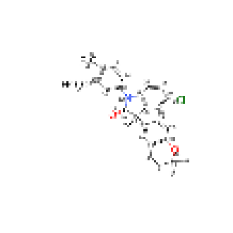 CC1(C)CCc2cc([C@]3(C)C(=O)N(c4ccc(C(F)(F)F)c(C(=O)O)c4)c4ccc(Cl)cc43)ccc2O1